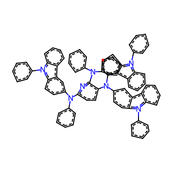 c1ccc(N(c2ccc3c(c2)c2ccccc2n3-c2ccccc2)c2ccc(N(c3ccccc3)c3ccc4c(c3)c3ccccc3n4-c3ccccc3)c(N(c3ccccc3)c3ccc4c(c3)c3ccccc3n4-c3ccccc3)n2)cc1